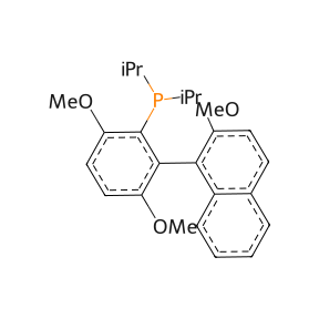 COc1ccc(OC)c(P(C(C)C)C(C)C)c1-c1c(OC)ccc2ccccc12